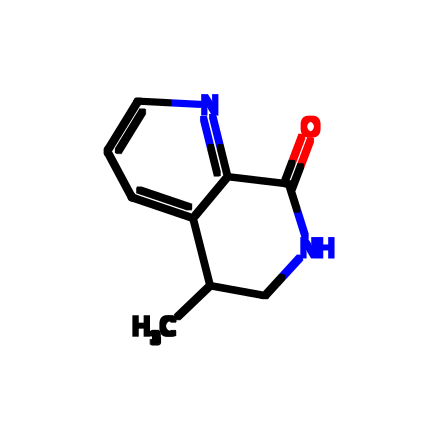 CC1CNC(=O)c2ncccc21